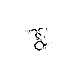 CC[N+](CC)(CC)CC.O=C1CCCCCN1.[Cl-]